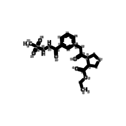 CCOC(=O)C1CSCN1C(=O)C[n+]1cccc(C(=O)NNS(C)(=O)=O)c1